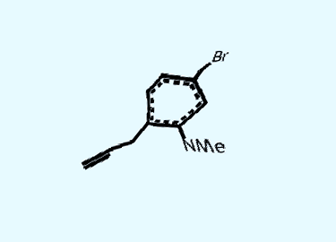 C=CCc1ccc(Br)cc1NC